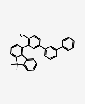 CC1(C)c2ccccc2-c2c(-c3cc(-c4cccc(-c5ccccc5)c4)ccc3Cl)cccc21